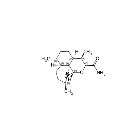 C[C@H]1[C@@H](C(N)=O)O[C@@H]2O[C@@]3(C)CC[C@H]4[C@H](C)CC[C@@H]1[C@@]24OO3